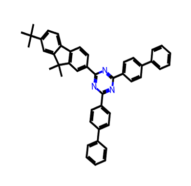 CC(C)(C)c1ccc2c(c1)C(C)(C)c1cc(-c3nc(-c4ccc(-c5ccccc5)cc4)nc(-c4ccc(-c5ccccc5)cc4)n3)ccc1-2